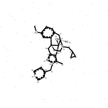 COc1ccc2c(c1)[C@]13CCN(CC4CC4)[C@H](C2)[C@]1(O)Cc1c(nn(Cc2ccccc2)c1C)C3